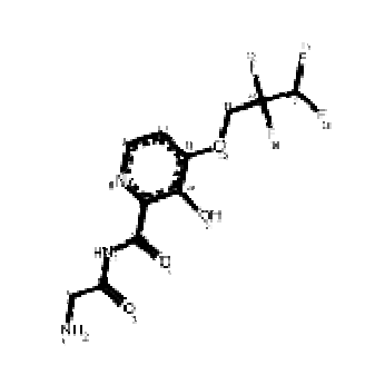 NCC(=O)NC(=O)c1nccc(OCC(F)(F)C(F)F)c1O